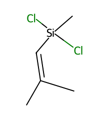 CC(C)=C[Si](C)(Cl)Cl